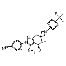 N#Cc1ccc(-n2nc3c(c2N)C(=O)NC2(C3)CN(c3ccc(C(F)(F)F)cc3)C2)nc1